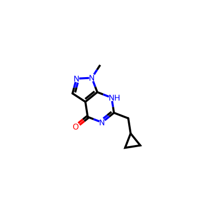 Cn1ncc2c(=O)nc(CC3CC3)[nH]c21